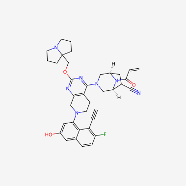 C#Cc1c(F)ccc2cc(O)cc(N3CCc4c(nc(OCC56CCCN5CCC6)nc4N4C[C@H]5CC(C#N)[C@@H](C4)N5C(=O)C=C)C3)c12